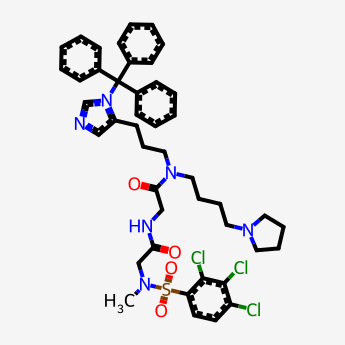 CN(CC(=O)NCC(=O)N(CCCCN1CCCC1)CCCc1cncn1C(c1ccccc1)(c1ccccc1)c1ccccc1)S(=O)(=O)c1ccc(Cl)c(Cl)c1Cl